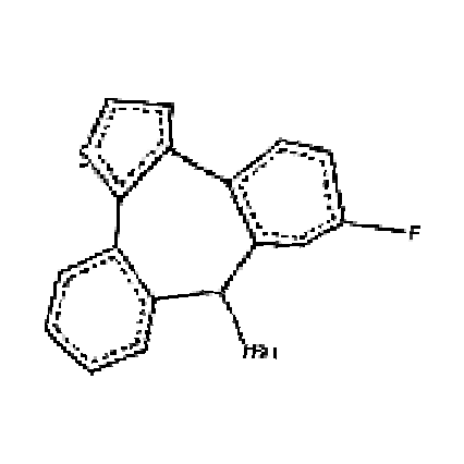 CC(C)(C)C1c2cc(F)ccc2-c2ccsc2-c2ccccc21